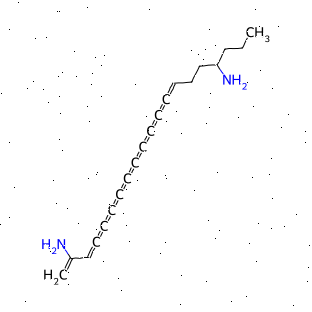 C=C(N)C=C=C=C=C=C=C=C=C=C=C=CCCC(N)CCC